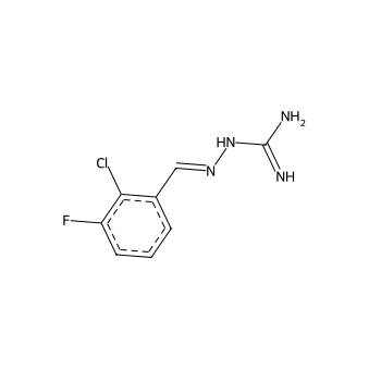 N=C(N)NN=Cc1cccc(F)c1Cl